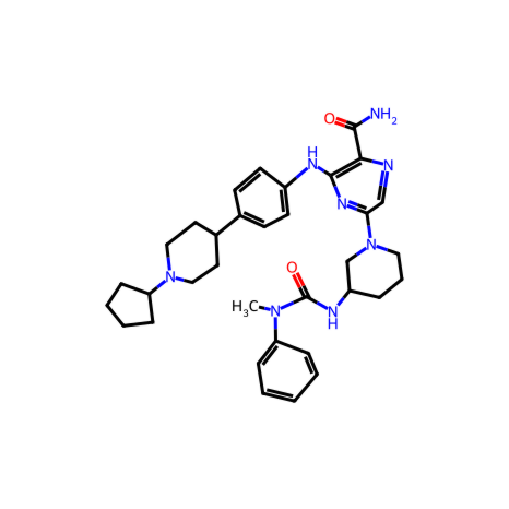 CN(C(=O)NC1CCCN(c2cnc(C(N)=O)c(Nc3ccc(C4CCN(C5CCCC5)CC4)cc3)n2)C1)c1ccccc1